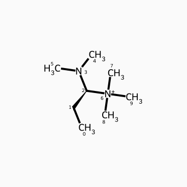 C[CH][C@@H](N(C)C)[N+](C)(C)C